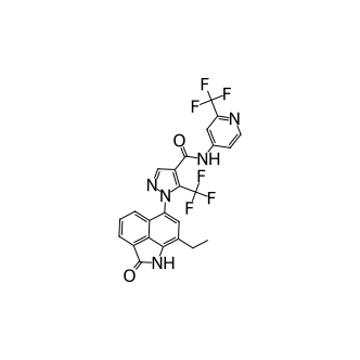 CCc1cc(-n2ncc(C(=O)Nc3ccnc(C(F)(F)F)c3)c2C(F)(F)F)c2cccc3c2c1NC3=O